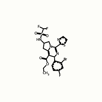 CCOC(=O)C1=C2CC(NS(=O)(=O)C(F)F)CN2C(c2nccs2)=NC1c1ccc(F)cc1Br